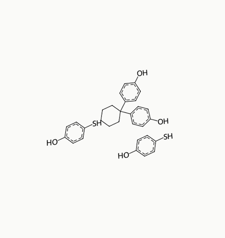 Oc1ccc(C2(c3ccc(O)cc3)CCCCC2)cc1.Oc1ccc(S)cc1.Oc1ccc(S)cc1